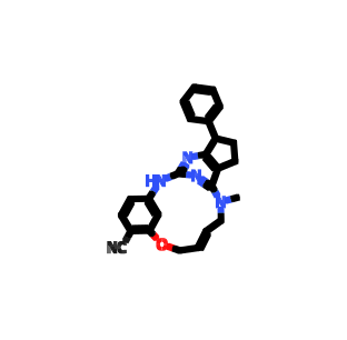 CN1C/C=C/COc2cc(ccc2C#N)Nc2nc3c(c1n2)CCC3c1ccccc1